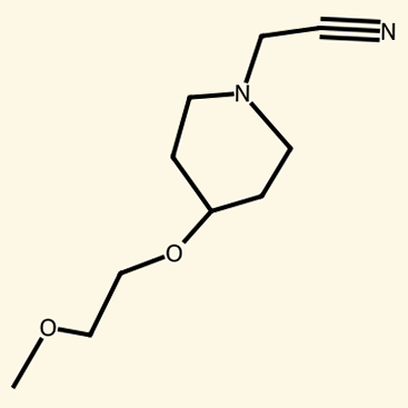 COCCOC1CCN(CC#N)CC1